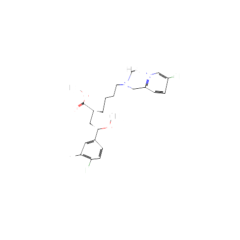 CCN(CCCC[C@@H](C[C@@H](OC)c1ccc(F)c(C)c1)C(=O)OC)Cc1ccc(Cl)cn1